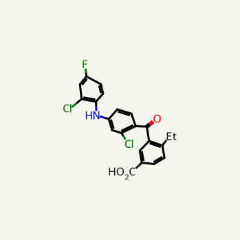 CCc1ccc(C(=O)O)cc1C(=O)c1ccc(Nc2ccc(F)cc2Cl)cc1Cl